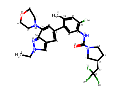 CCn1cc2cc(-c3cc(NC(=O)N4CC[C@@H](CC(F)(F)F)C4)c(F)cc3C)cc(N3CCOCC3)c2n1